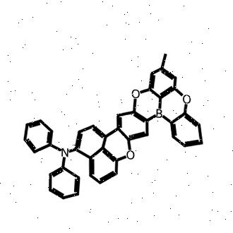 Cc1cc2c3c(c1)Oc1cc4c(cc1B3c1ccccc1O2)Oc1cccc2c(N(c3ccccc3)c3ccccc3)ccc-4c12